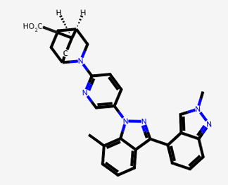 Cc1cccc2c(-c3cccc4nn(C)cc34)nn(-c3ccc(N4C[C@@H]5CCC4C[C@H]5C(=O)O)nc3)c12